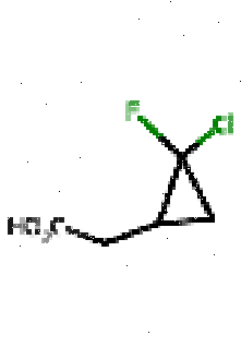 O=C(O)CC1CC1(F)Cl